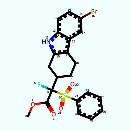 COC(=O)C(F)(C1CCc2c([nH]c3ccc(Br)cc23)C1)S(=O)(=O)c1ccccc1